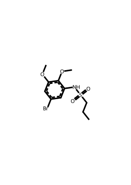 CCCS(=O)(=O)Nc1cc(Br)cc(OC)c1OC